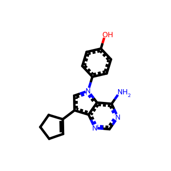 Nc1ncnc2c(C3=CCCC3)cn(-c3ccc(O)cc3)c12